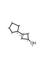 OC1CN(C2CCCC2)C1